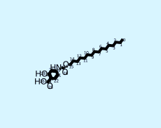 CCCCCCCCCCCCCCCCOC(=O)Nc1ccc(C(=O)O)c(O)c1